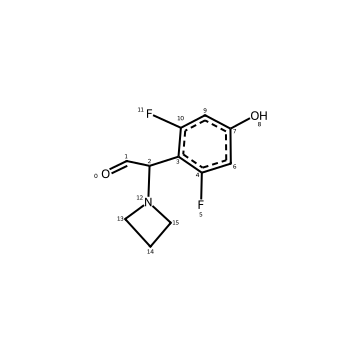 O=CC(c1c(F)cc(O)cc1F)N1CCC1